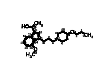 CCCOC1CCN(CCCn2cc(C(C)O)c3cccc(OC)c32)CC1